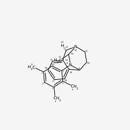 Cc1cc(C)c(C)c(N2C3CCN(Cc4ccccc43)[C@@H]2C)c1